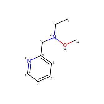 CCN(Cc1ccccn1)OC